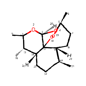 CC1O[C@H]2O[C@@]3(C)CC[C@@H]4[C@@H](C)CC[C@H]([C@@H]1C)C24OO3